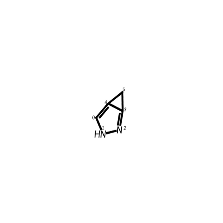 c1[nH]nc2c1C2